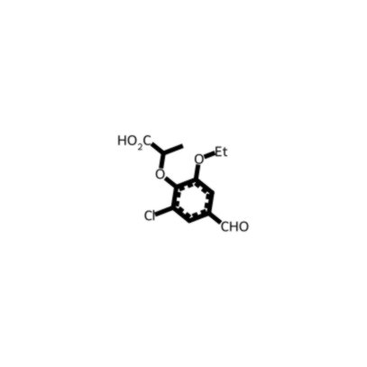 CCOc1cc(C=O)cc(Cl)c1OC(C)C(=O)O